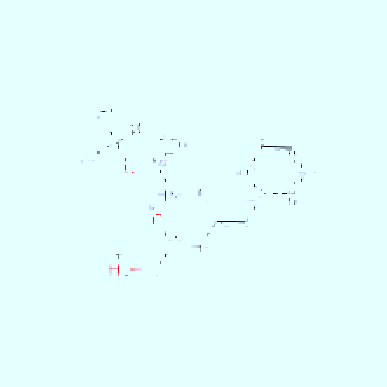 CC(C)(C)OC(=O)NC[C@H](Cc1ccccc1)CC(O)CO